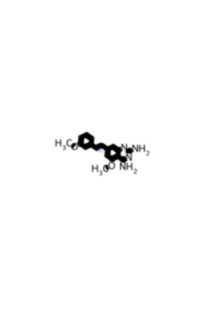 COc1cccc(/C=C/c2cc(OC)c3c(N)nc(N)nc3c2)c1